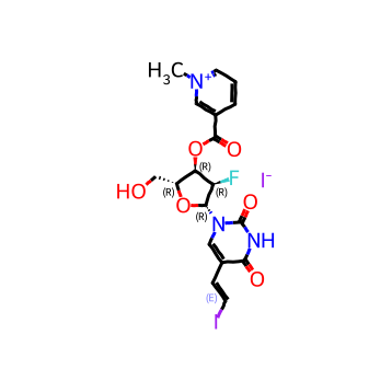 C[n+]1cccc(C(=O)O[C@H]2[C@@H](F)[C@H](n3cc(/C=C/I)c(=O)[nH]c3=O)O[C@@H]2CO)c1.[I-]